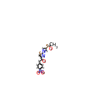 CC(=O)SC1CN(c2nc(C(=O)Cc3ccc([N+](=O)[O-])cc3)cs2)C1